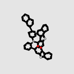 c1ccc(N(c2ccc(-c3ccc4ccccc4c3)cc2)c2cccc3oc4c5ccccc5ccc4c23)c(-c2ccc3c(c2)oc2ccccc23)c1